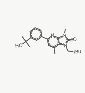 Cc1cc(-c2cccc(C(C)(C)O)c2)nc2c1n(CC(C)(C)C)c(=O)n2C